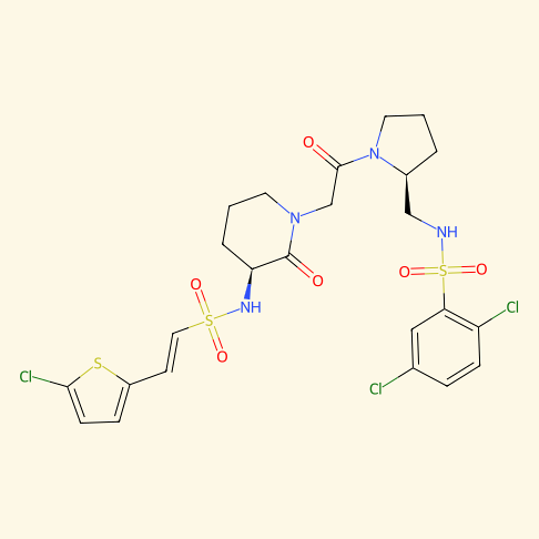 O=C1[C@@H](NS(=O)(=O)/C=C/c2ccc(Cl)s2)CCCN1CC(=O)N1CCC[C@H]1CNS(=O)(=O)c1cc(Cl)ccc1Cl